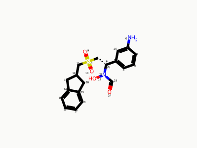 Nc1cccc([C@@H](CS(=O)(=O)CC2Cc3ccccc3C2)N(O)C=O)c1